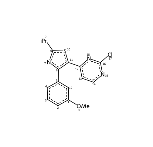 COc1cccc(-c2nc(C(C)C)sc2-c2ccnc(Cl)n2)c1